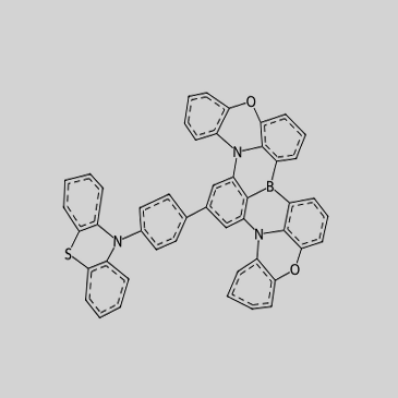 c1ccc2c(c1)Oc1cccc3c1N2c1cc(-c2ccc(N4c5ccccc5Sc5ccccc54)cc2)cc2c1B3c1cccc3c1N2c1ccccc1O3